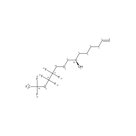 C=CCCCC[C@@H](O)COCC(F)(F)C(F)(F)OC(F)(F)C(F)(F)F